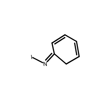 IN=C1C=CC=CC1